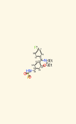 CCC1(CC)N=C(c2ccc(F)cc2)c2ccc(CN[SH](=O)=O)cc2O1